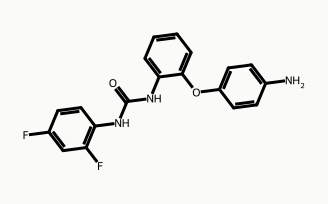 Nc1ccc(Oc2ccccc2NC(=O)Nc2ccc(F)cc2F)cc1